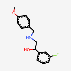 COc1ccc(CNCC(O)c2cccc(F)c2)cc1